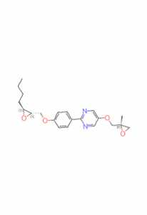 CCCC[C@@H]1O[C@H]1COc1ccc(-c2ncc(OC[C@]3(C)CO3)cn2)cc1